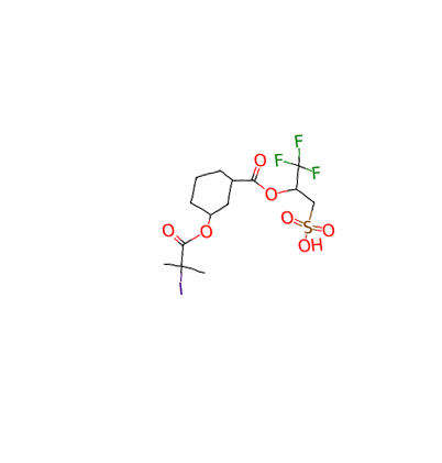 CC(C)(I)C(=O)OC1CCCC(C(=O)OC(CS(=O)(=O)O)C(F)(F)F)C1